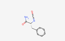 NC(=O)[C@@H](Cc1ccccc1)N=C=O